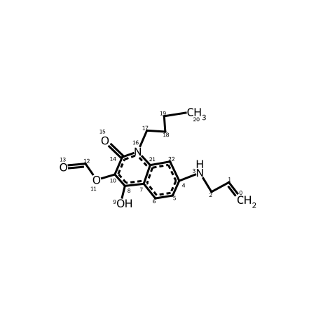 C=CCNc1ccc2c(O)c(OC=O)c(=O)n(CCCC)c2c1